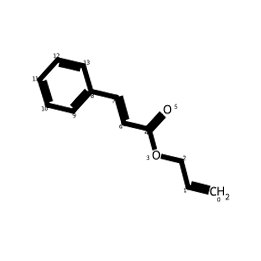 C=CCOC(=O)C=Cc1ccccc1